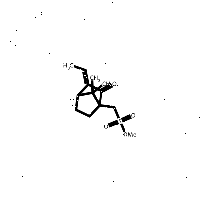 C/C=C1/C(=O)C2(CS(=O)(=O)OC)CCC1C2(C)C